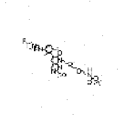 C[S+]([O-])c1ncc2cc(-c3c(F)ccc(NSN4CC[C@@H](F)C4)c3F)c(=O)n(CCOCCOCCNC(=O)OC(C)(C)C)c2n1